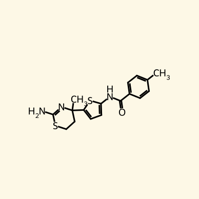 Cc1ccc(C(=O)Nc2ccc(C3(C)CCSC(N)=N3)s2)cc1